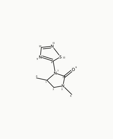 CC1CN(C)C(=O)N1c1ncns1